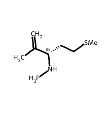 C=C(C)[C@H](CCSC)NP